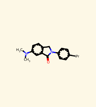 CC(C)c1ccc(N2Cc3ccc(N(C)C)cc3C2=O)cc1